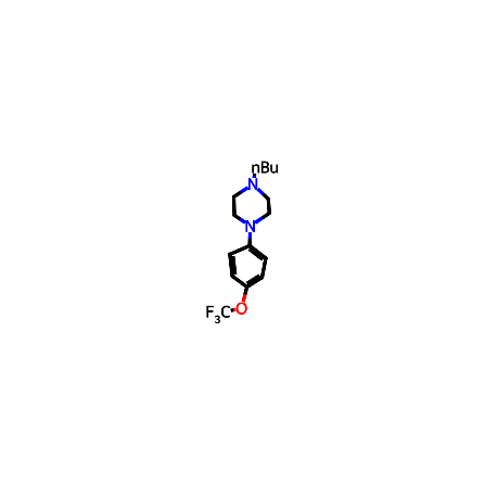 CCCCN1CCN(c2ccc(OC(F)(F)F)cc2)CC1